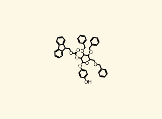 O=C(OCC1c2ccccc2-c2ccccc21)OC1C(Oc2ccc(O)cc2)OC(COCc2ccccc2)C(OCc2ccccc2)C1OCc1ccccc1